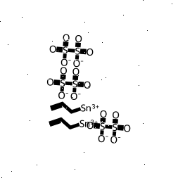 C=C[CH2][Sn+3].C=C[CH2][Sn+3].O=S(=O)([O-])S(=O)(=O)[O-].O=S(=O)([O-])S(=O)(=O)[O-].O=S(=O)([O-])S(=O)(=O)[O-]